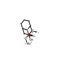 CC(C)(C)OC(=O)N1C2CCCC1[C@@H](F)C(O)C2